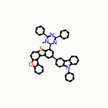 CN1C(c2ccccc2)=NC(c2ccccc2)=NC1c1cc(-c2ccc3c(c2)c2ccccc2n3-c2ccccc2)cc2c1sc1ccc3oc4ccccc4c3c12